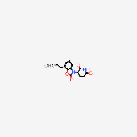 O=CCCc1cc(F)cc2c1oc(=O)n2C1CCC(=O)NC1=O